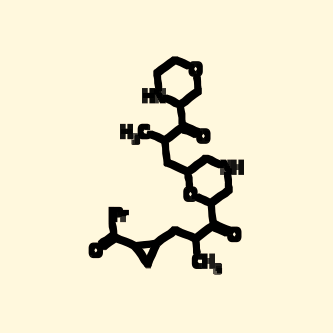 CC(C)C(=O)C1CC1CC(C)C(=O)C1CNCC(CC(C)C(=O)C2COCCN2)O1